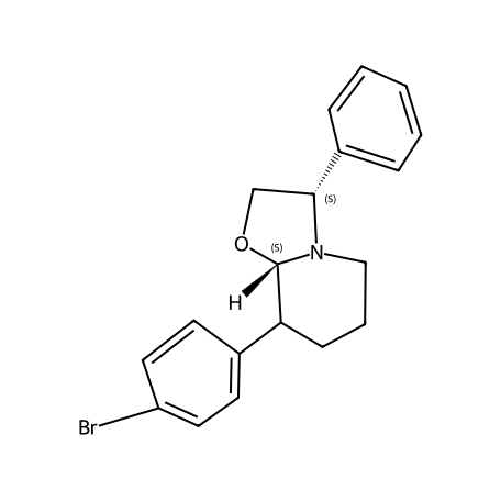 Brc1ccc(C2CCCN3[C@@H](c4ccccc4)CO[C@@H]23)cc1